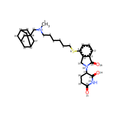 CN(CCCCCCSc1cccc2c1CN(C1CCC(=O)NC1=O)C2=O)CC12CC3CC(CC(C3)C1)C2